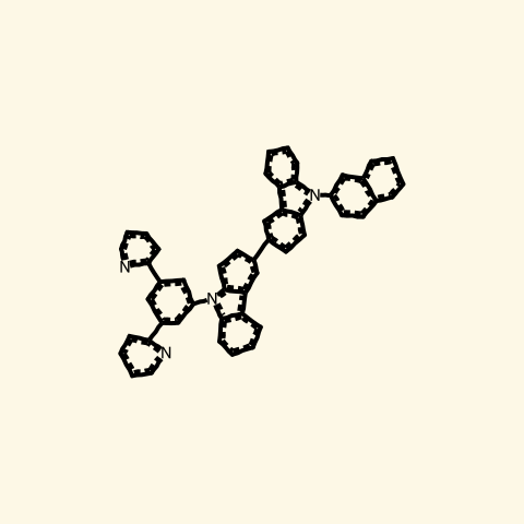 c1ccc(-c2cc(-c3ccccn3)cc(-n3c4ccccc4c4cc(-c5ccc6c(c5)c5ccccc5n6-c5ccc6ccccc6c5)ccc43)c2)nc1